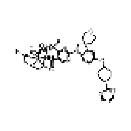 N#C[C@]12CC3C[C@H](C1)[C@](NC(=O)c1cnc(N4CC5(CCOCC5)c5cc(OC6CCN(c7ncccn7)CC6)ccc54)nc1C(F)(F)F)(C(=O)O)[C@@H](C3)C2